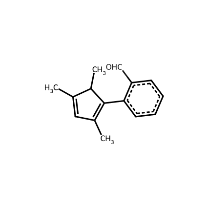 CC1=CC(C)=C(c2ccccc2C=O)C1C